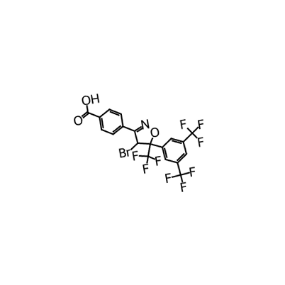 O=C(O)c1ccc(C2=NOC(c3cc(C(F)(F)F)cc(C(F)(F)F)c3)(C(F)(F)F)C2Br)cc1